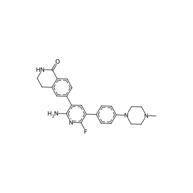 CN1CCN(c2ccc(-c3cc(-c4ccc5c(c4)CCNC5=O)c(N)nc3F)cc2)CC1